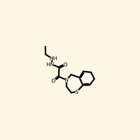 CCNNC(=O)C(=O)N1CCSC2=CCCC=C2C1